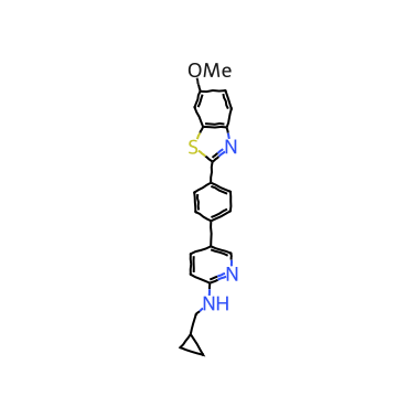 COc1ccc2nc(-c3ccc(-c4ccc(NCC5CC5)nc4)cc3)sc2c1